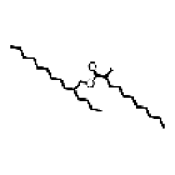 CCCCCCCCCC(CCCC)COC(=O)C(C)CCCCCCCCC